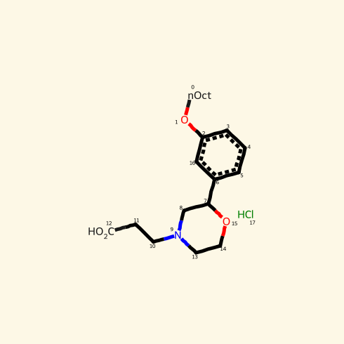 CCCCCCCCOc1cccc(C2CN(CCC(=O)O)CCO2)c1.Cl